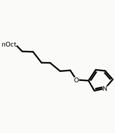 CCCCCCCCCCCCCCOc1cccnc1